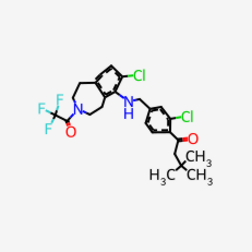 CC(C)(C)CC(=O)c1ccc(CNc2c(Cl)ccc3c2CCN(C(=O)C(F)(F)F)CC3)cc1Cl